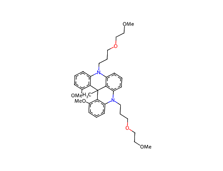 COCCOCCCN1c2cccc(OC)c2C2(C)c3c(OC)cccc3N(CCCOCCOC)c3cccc1c32